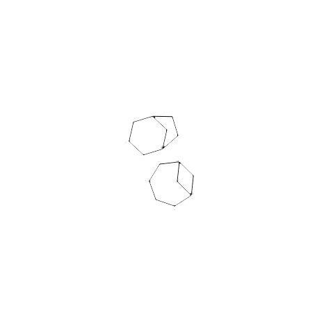 C1CC2CCC(C1)C2.C1CCC2CC(C1)C2